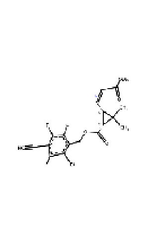 C#Cc1c(F)c(F)c(COC(=O)[C@@H]2[C@H](/C=C\C(=O)OC)C2(C)C)c(CC)c1F